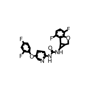 O=C(Nc1ccc(Oc2ccc(F)cc2F)cn1)NC1C2COc3c(F)ccc(F)c3C21